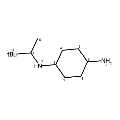 CC(NC1CCC(N)CC1)C(C)(C)C